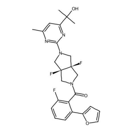 Cc1cc(C(C)(C)O)nc(N2C[C@]3(F)CN(C(=O)c4c(F)cccc4-c4ccco4)C[C@]3(F)C2)n1